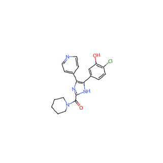 O=C(c1nc(-c2ccncc2)c(-c2ccc(Cl)c(O)c2)[nH]1)N1CCCCC1